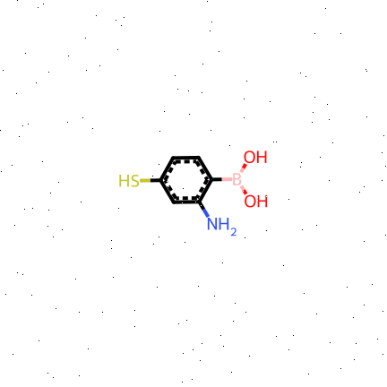 Nc1cc(S)ccc1B(O)O